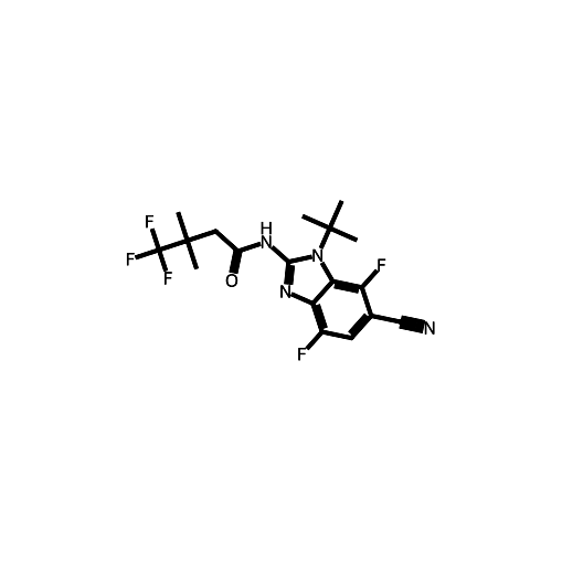 CC(C)(C)n1c(NC(=O)CC(C)(C)C(F)(F)F)nc2c(F)cc(C#N)c(F)c21